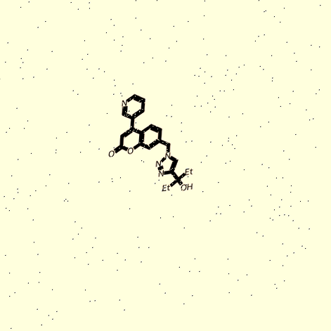 CCC(O)(CC)c1cn(Cc2ccc3c(-c4cccnc4)cc(=O)oc3c2)nn1